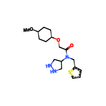 COC1CCC(OCC(=O)N(Cc2cccs2)C2CNNC2)CC1